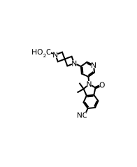 CC1(C)c2cc(C#N)ccc2C(=O)N1c1cncc(N2CC3(CN(C(=O)O)C3)C2)c1